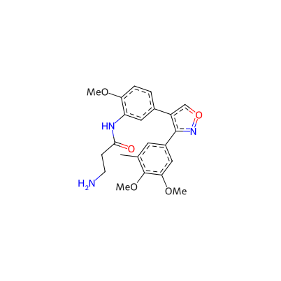 COc1ccc(-c2conc2-c2cc(C)c(OC)c(OC)c2)cc1NC(=O)CCN